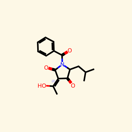 C/C(O)=C1\C(=O)C(CC(C)C)N(C(=O)c2ccccc2)C1=O